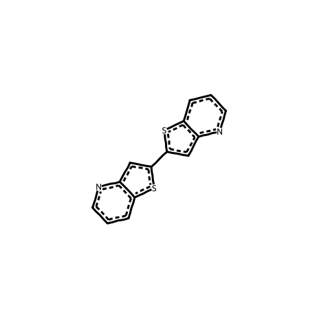 c1cnc2cc(-c3cc4ncccc4s3)sc2c1